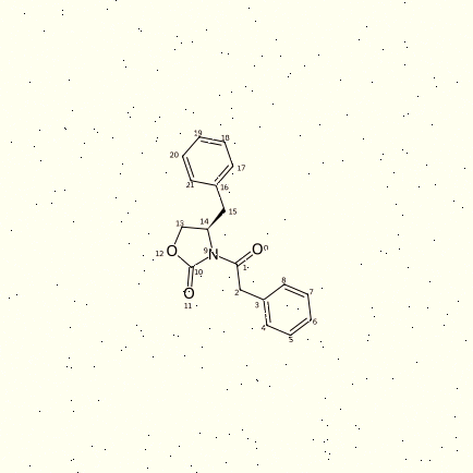 O=C(Cc1ccccc1)N1C(=O)OC[C@H]1Cc1ccccc1